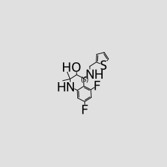 CC1(C)Nc2cc(F)cc(F)c2[C@H](NCc2cccs2)C1O